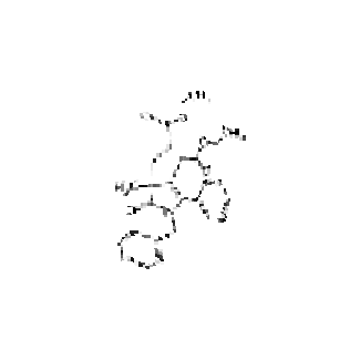 CCOC(=O)CCC1(C)C(=O)N(Cc2ccccc2)C(c2ccccc2)=C1CC(=O)OCC